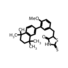 COc1ccc(CC2SC(=S)NC2=O)cc1-c1ccc2c(c1)C(C)(C)CCC2(C)C